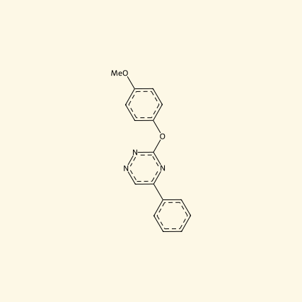 COc1ccc(Oc2nncc(-c3ccccc3)n2)cc1